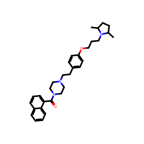 CC1CCC(C)N1CCCOc1ccc(CCN2CCN(C(=O)c3cccc4ccccc34)CC2)cc1